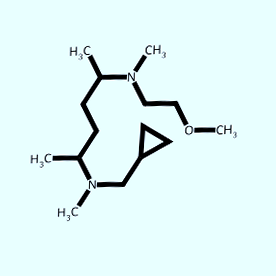 COCCN(C)C(C)CCC(C)N(C)CC1CC1